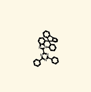 c1ccc(-c2nc(-c3ccccc3)nc(-c3nc4cccc5c4n3-c3ccccc3C53c4ccccc4-c4ccccc43)n2)cc1